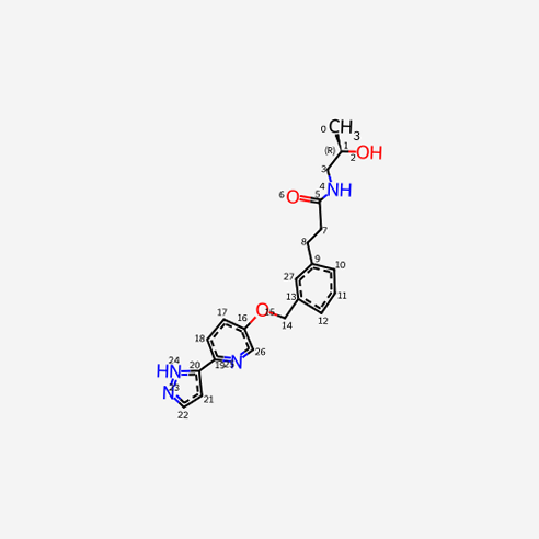 C[C@@H](O)CNC(=O)CCc1cccc(COc2ccc(-c3ccn[nH]3)nc2)c1